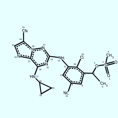 CC(OS(C)(=O)=O)c1cc(C#N)cc(Nc2nc(NC3CC3)c3ncc(C#N)n3n2)c1Cl